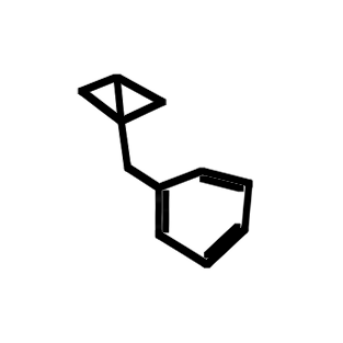 c1ccc(CC23CC2C3)cc1